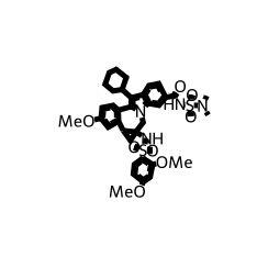 COc1ccc(S(=O)(=O)NC23CC2c2cc(OC)ccc2-c2c(C4CCCCC4)c4ccc(C(=O)NS(=O)(=O)N(C)C)cc4n2C3)c(OC)c1